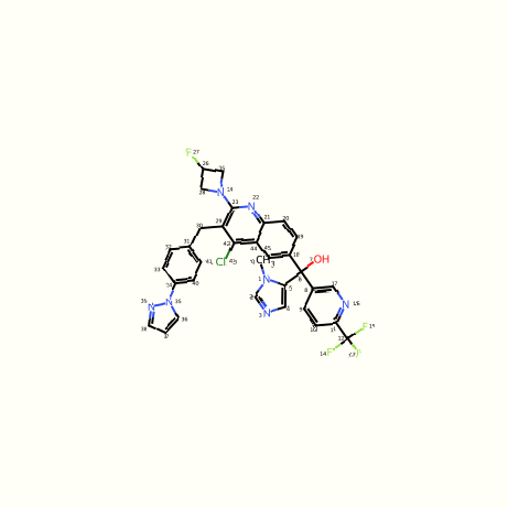 Cn1cncc1C(O)(c1ccc(C(F)(F)F)nc1)c1ccc2nc(N3CC(F)C3)c(Cc3ccc(-n4cccn4)cc3)c(Cl)c2c1